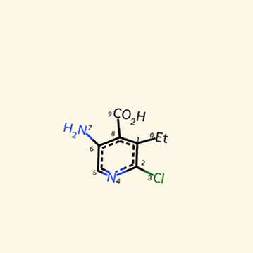 CCc1c(Cl)ncc(N)c1C(=O)O